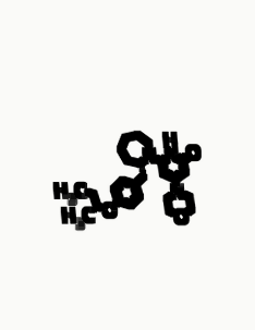 CC[C@@H](C)Oc1ccc(C[C@@H]2CCCCCN2c2cc(N3CCOCC3)cc(=O)[nH]2)cc1